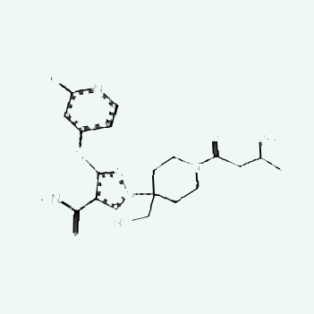 CC(O)CC(=O)N1CCC(CC#N)(n2cc(C(N)=O)c(Nc3ccnc(F)c3)n2)CC1